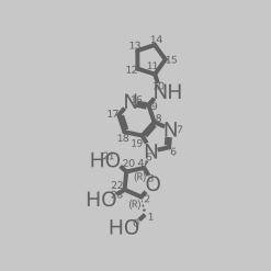 OC[C@H]1O[C@@H](n2cnc3c(NC4CCCC4)nccc32)C(O)C1O